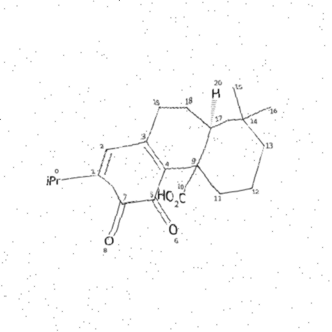 CC(C)C1=CC2=C(C(=O)C1=O)C1(C(=O)O)CCCC(C)(C)[C@@H]1CC2